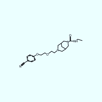 CCNC(=O)N1CC2CC(CN(CCOCCOc3ccc(C#N)cc3)C2)C1